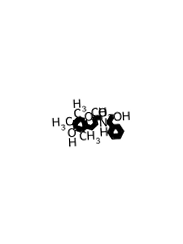 Cc1c(C)c2c(c(C)c1O)CCC(C)(C(=O)NC(CO)c1ccccc1)O2